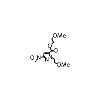 COCCOC(=O)c1cc([N+](=O)[O-])nn1CCOC